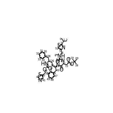 CC(C)c1nc(CN(C)C(=O)NC(CC(=O)OC(C)(C)C)C(=O)NC(CCC(Cc2ccccc2)NC(=O)OCc2cncs2)Cc2ccccc2)cs1